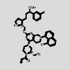 C=CC(=O)N1CCN(c2nc(OC[C@H]3NCCC3CCC(OC)c3cccc(I)c3)nc3c2CCN(c2cccc4cccc(Cl)c24)C3)C[C@@H]1CC#N